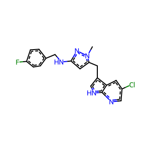 Cn1nc(NCc2ccc(F)cc2)cc1Cc1c[nH]c2ncc(Cl)cc12